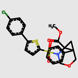 COC(=O)C12CC1(c1ccccc1)COCN2S(=O)(=O)c1ccc(-c2ccc(Cl)cc2)s1